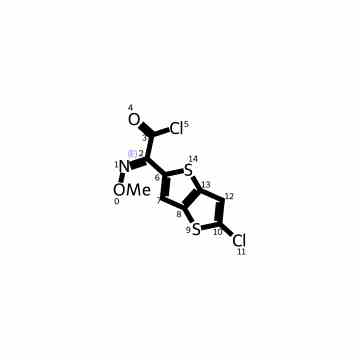 CO/N=C(/C(=O)Cl)c1cc2sc(Cl)cc2s1